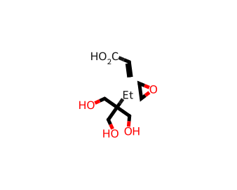 C1CO1.C=CC(=O)O.CCC(CO)(CO)CO